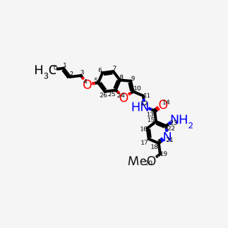 C/C=C/COc1ccc2cc(CNC(=O)c3ccc(COC)nc3N)oc2c1